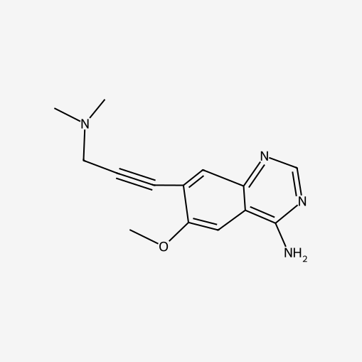 COc1cc2c(N)ncnc2cc1C#CCN(C)C